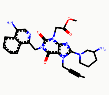 CC#CCn1c(N2CCCC(N)C2)nc2c1c(=O)n(Cc1ncc(N)c3ccccc13)c(=O)n2CC(=O)OC